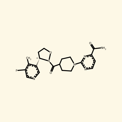 Cc1c(F)cncc1[C@@H]1CCON1C(=O)C1CCN(c2nccc(C(N)=O)n2)CC1